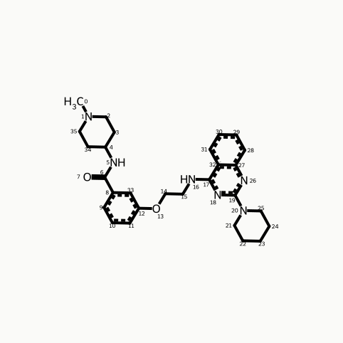 CN1CCC(NC(=O)c2cccc(OCCNc3nc(N4CCCCC4)nc4ccccc34)c2)CC1